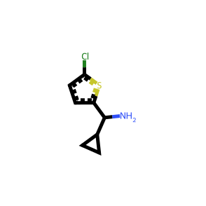 NC(c1ccc(Cl)s1)C1CC1